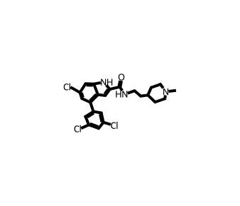 CN1CCC(CCNC(=O)c2cc3c(-c4cc(Cl)cc(Cl)c4)cc(Cl)cc3[nH]2)CC1